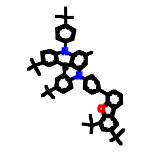 Cc1cc2c3c(c1)N(c1ccc(C(C)(C)C)cc1)c1ccc(C(C)(C)C)cc1B3c1cc(C(C)(C)C)ccc1N2c1ccc(-c2cccc3c2oc2c(C(C)(C)C)cc(C(C)(C)C)cc23)cc1